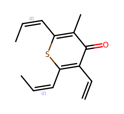 C=Cc1c(/C=C\C)sc(/C=C\C)c(C)c1=O